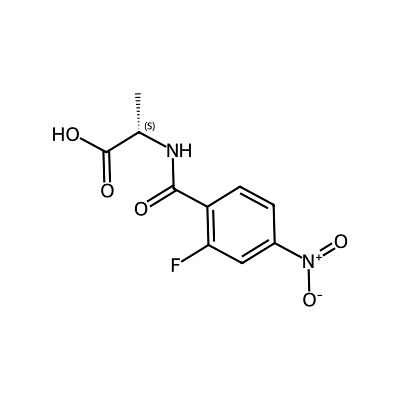 C[C@H](NC(=O)c1ccc([N+](=O)[O-])cc1F)C(=O)O